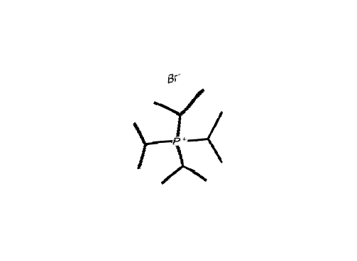 CC(C)[P+](C(C)C)(C(C)C)C(C)C.[Br-]